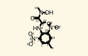 Cc1cc([N+](=O)[O-])c(NC(C)C(=O)N(C)O)c([N+](=O)[O-])c1